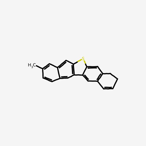 Cc1ccc2cc3c(cc2c1)sc1cc2c(cc13)C=CCC2